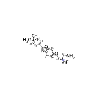 CC1(C)CCC(c2nc3ccc(OC/C(=C/F)CN)cc3o2)CC1